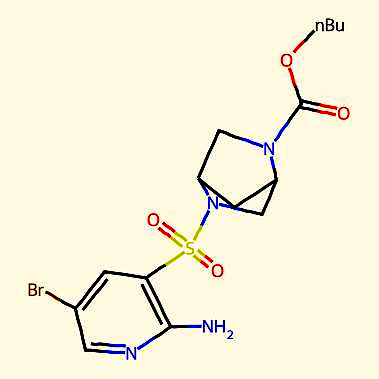 CCCCOC(=O)N1CC2CC1CN2S(=O)(=O)c1cc(Br)cnc1N